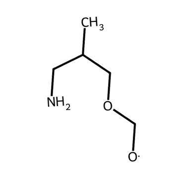 CC(CN)COC[O]